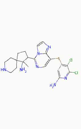 CC1(N)C(c2ncc(Sc3cc(N)nc(Cl)c3Cl)c3nccn23)CCC12CCNCC2